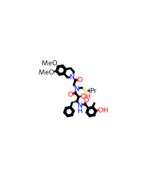 COc1cc2c(cc1OC)CN(C(=O)CN(CSC(C)C)C(=O)[C@@H](O)[C@H](Cc1ccccc1)NC(=O)c1cccc(O)c1C)CC2